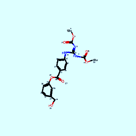 CC(C)(C)OC(=O)/N=C(/NC(=O)OC(C)(C)C)Nc1ccc(C(=O)Oc2cccc(CO)c2)cc1